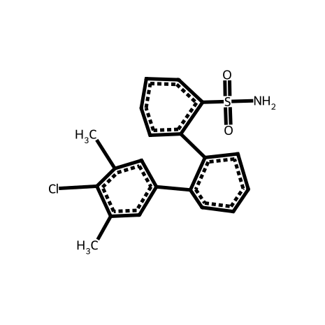 Cc1cc(-c2ccccc2-c2ccccc2S(N)(=O)=O)cc(C)c1Cl